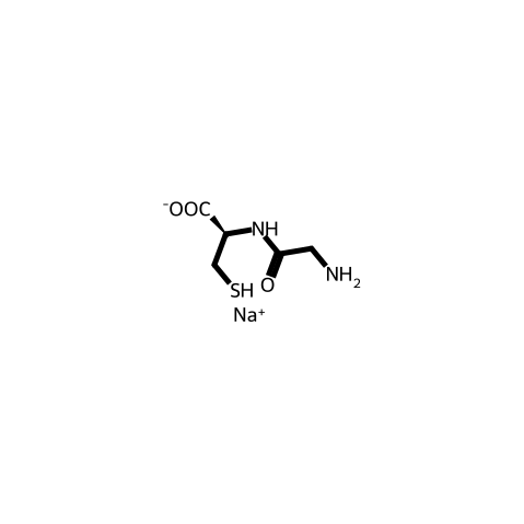 NCC(=O)N[C@@H](CS)C(=O)[O-].[Na+]